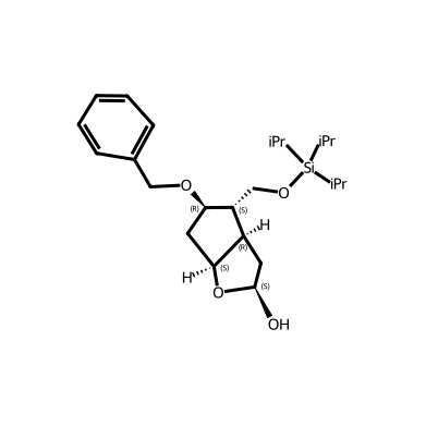 CC(C)[Si](OC[C@@H]1[C@H]2C[C@@H](O)O[C@H]2C[C@H]1OCc1ccccc1)(C(C)C)C(C)C